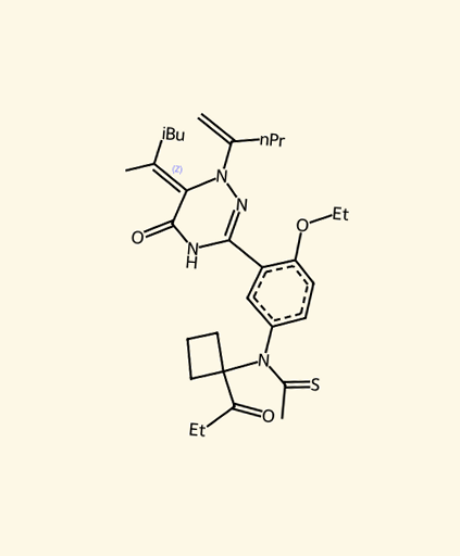 C=C(CCC)N1N=C(c2cc(N(C(C)=S)C3(C(=O)CC)CCC3)ccc2OCC)NC(=O)/C1=C(\C)C(C)CC